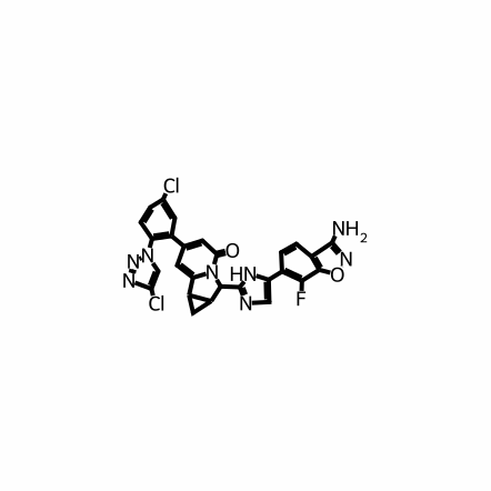 Nc1noc2c(F)c(-c3cnc(C4C5CC5c5cc(-c6cc(Cl)ccc6-n6cc(Cl)nn6)cc(=O)n54)[nH]3)ccc12